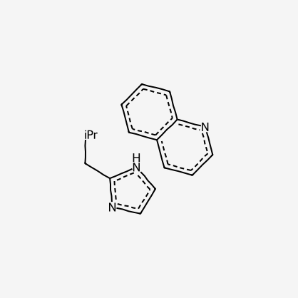 CC(C)Cc1ncc[nH]1.c1ccc2ncccc2c1